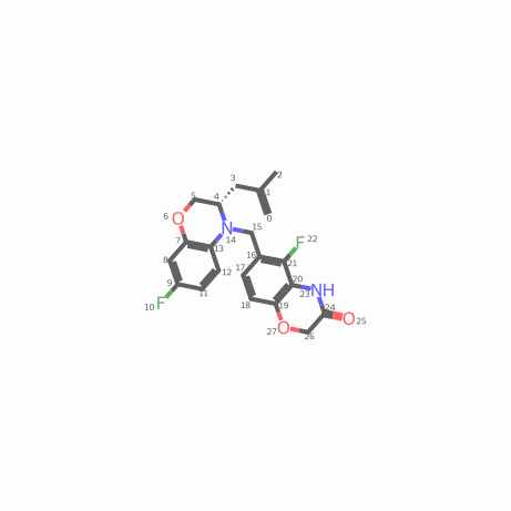 C=C(C)C[C@H]1COc2cc(F)ccc2N1Cc1ccc2c(c1F)NC(=O)CO2